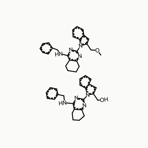 COCc1cc2ccccc2n1-c1nc2c(c(NCc3ccccc3)n1)CCCC2.OCc1cc2ccccc2n1-c1nc2c(c(NCc3ccccc3)n1)CCCC2